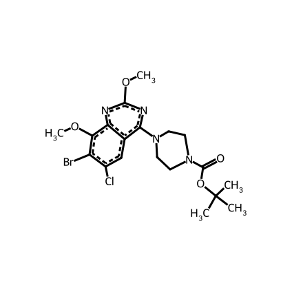 COc1nc(N2CCN(C(=O)OC(C)(C)C)CC2)c2cc(Cl)c(Br)c(OC)c2n1